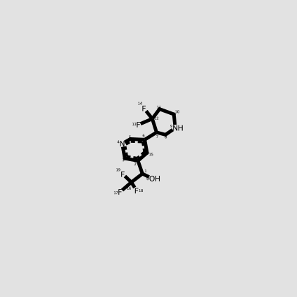 OC(c1cncc(C2CNCCC2(F)F)c1)C(F)(F)F